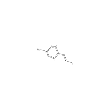 C/C=C/c1ccc(C(C)=O)cc1